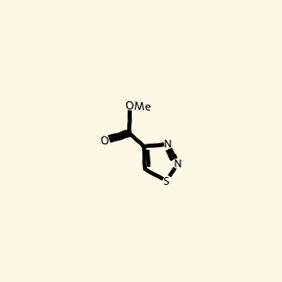 COC(=O)c1csnn1